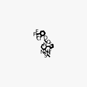 Cc1nn2c3c(nc2s1)CCN(C(=O)COc1cccc(C(F)(F)F)c1Cl)C3c1sccc1F